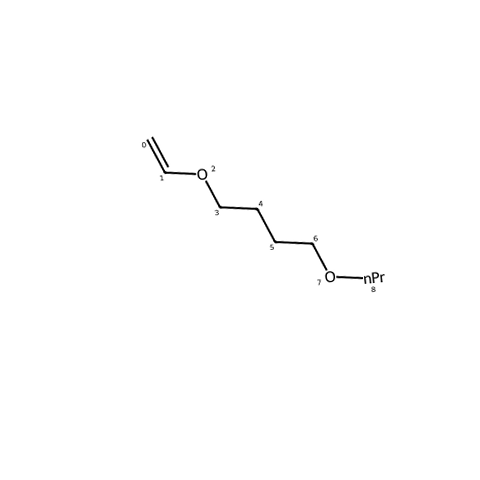 C=COCCCCOCCC